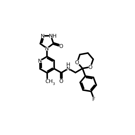 Cc1cnc(-n2cn[nH]c2=O)cc1C(=O)NCC1(c2ccc(F)cc2)OCCCO1